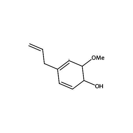 C=CCC1=[C]C(OC)C(O)C=C1